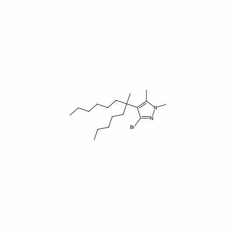 CCCCCCC(C)(CCCCC)c1c(Br)nn(C)c1C